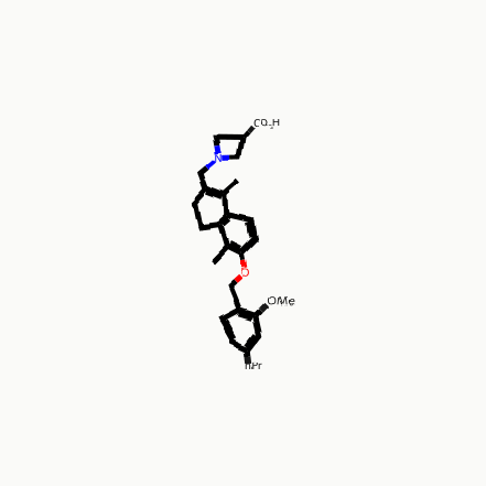 CCCc1ccc(COc2ccc3c(c2C)CCC(CN2CC(C(=O)O)C2)=C3C)c(OC)c1